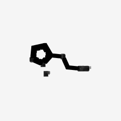 O=C([O-])COc1ccon1.[K+]